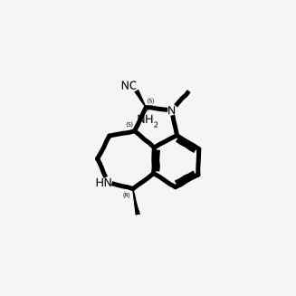 C[C@H]1NCC[C@]2(N)c3c1cccc3N(C)[C@@H]2C#N